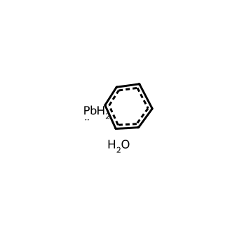 O.[PbH2].c1ccccc1